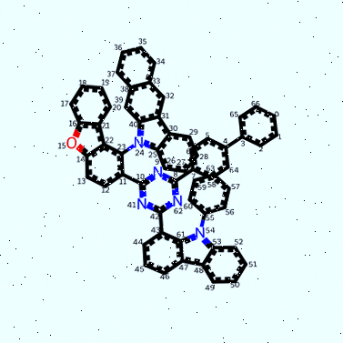 c1ccc(-c2ccc(-c3nc(-c4ccc5oc6ccccc6c5c4-n4c5ccccc5c5cc6ccccc6cc54)nc(-c4cccc5c6ccccc6n(-c6ccccc6)c45)n3)cc2)cc1